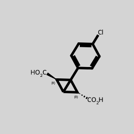 O=C(O)[C@@H]1C2[C@@H](C(=O)O)C21c1ccc(Cl)cc1